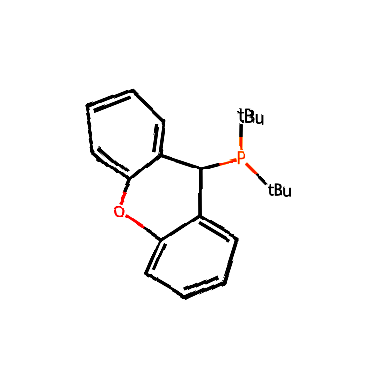 CC(C)(C)P(C1c2ccccc2Oc2ccccc21)C(C)(C)C